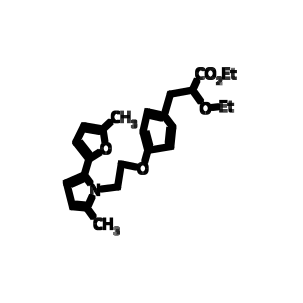 CCOC(=O)C(Cc1ccc(OCCn2c(C)ccc2-c2ccc(C)o2)cc1)OCC